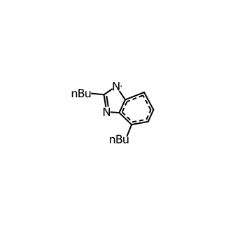 CCCCC1=Nc2c(CCCC)cccc2[N]1